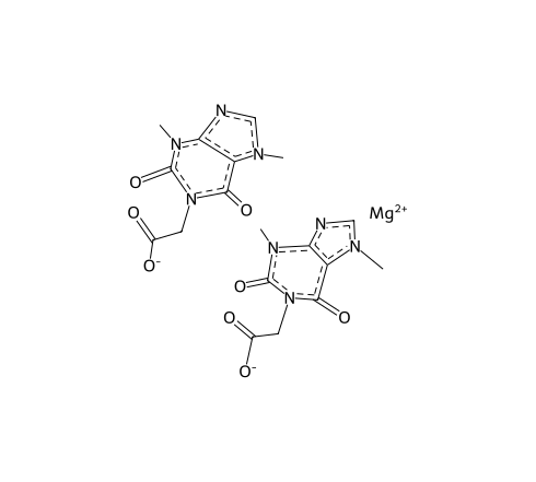 Cn1cnc2c1c(=O)n(CC(=O)[O-])c(=O)n2C.Cn1cnc2c1c(=O)n(CC(=O)[O-])c(=O)n2C.[Mg+2]